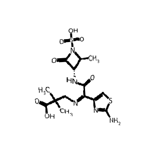 C[C@H]1[C@H](NC(=O)/C(=N\CC(C)(C)C(=O)O)c2csc(N)n2)C(=O)N1S(=O)(=O)O